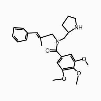 COc1cc(C(=O)N(C/C(C)=C/c2ccccc2)CC2CCCN2)cc(OC)c1OC